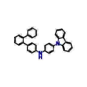 c1ccc(-c2ccccc2-c2ccc(Nc3ccc(-n4c5ccccc5c5ccccc54)cc3)cc2)cc1